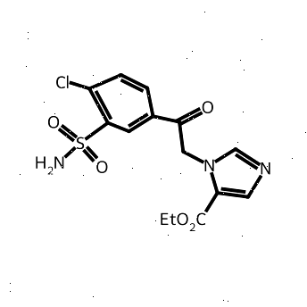 CCOC(=O)c1cncn1CC(=O)c1ccc(Cl)c(S(N)(=O)=O)c1